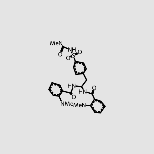 CNC(=O)NS(=O)(=O)c1ccc(CC(NC(=O)c2ccccc2NC)NC(=O)c2ccccc2NC)cc1